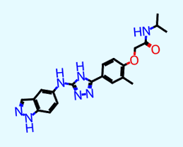 Cc1cc(-c2nnc(Nc3ccc4[nH]ncc4c3)[nH]2)ccc1OCC(=O)NC(C)C